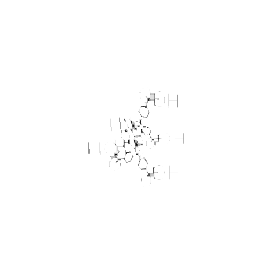 CC1CCC(NC(=O)OC(c2ccc(C(=O)C(C)(C)O)cc2)c2ccc(C(=O)C(C)(C)O)cc2)CC1NC(=O)OC(c1ccc(C(=O)C(C)(C)O)cc1)c1ccc(C(=O)C(C)(C)O)cc1